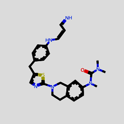 CN(C)C(=O)N(C)c1ccc2c(c1)CN(c1ncc(Cc3ccc(N/C=C\C=N)cc3)s1)CC2